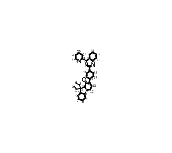 CCC1(CC)c2ccccc2-c2ccc3c(oc4cc(-c5nc(-c6ccccn6)c6ccccc6n5)ccc43)c21